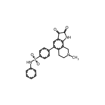 CN1CCc2c(-c3ccc(S(=O)(=O)Nc4ccccc4)cc3)cc3c(c2C1)NC(=O)C3=O